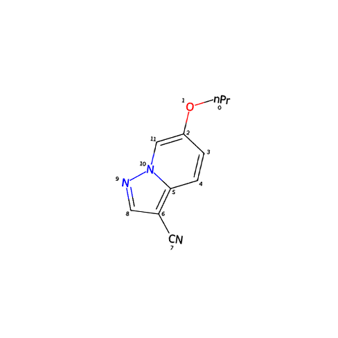 CCCOc1ccc2c(C#N)cnn2c1